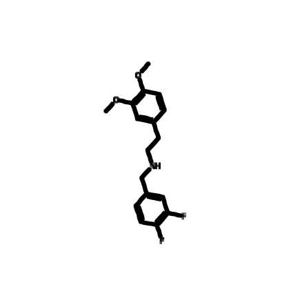 COc1ccc(CCNCc2ccc(F)c(F)c2)cc1OC